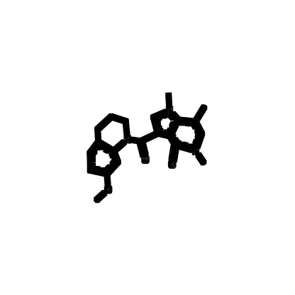 COc1ccc2c(c1)N(C(=O)c1cn(C)c3c(C)cn(C)c(=O)c13)CCC2